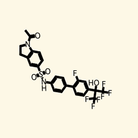 CC(=O)N1CCc2cc(S(=O)(=O)Nc3ccc(-c4ccc(C(O)(C(F)(F)F)C(F)(F)F)cc4F)cc3)ccc21